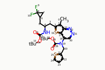 Cc1c(CC(CC2CC2(F)F)NC(=O)OC(C)(C)C)sc2c(N(Cc3cccs3)C(=O)OC(C)(C)C)cnnc12